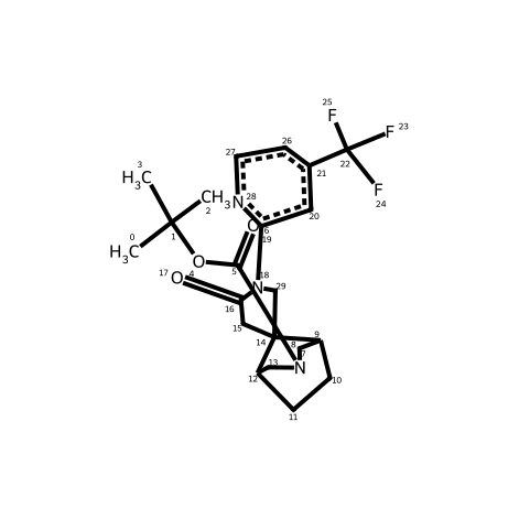 CC(C)(C)OC(=O)N1CC2CCC(C1)C21CC(=O)N(c2cc(C(F)(F)F)ccn2)C1